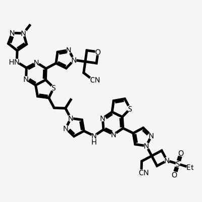 CCS(=O)(=O)N1CC(CC#N)(n2cc(-c3nc(Nc4cnn(C(C)Cc5cc6nc(Nc7cnn(C)c7)nc(-c7cnn(C8(CC#N)COC8)c7)c6s5)c4)nc4ccsc34)cn2)C1